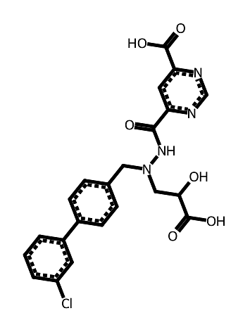 O=C(O)c1cc(C(=O)NN(Cc2ccc(-c3cccc(Cl)c3)cc2)CC(O)C(=O)O)ncn1